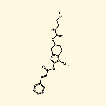 COCCNC(=O)OC1CCc2c(sc(NC(=O)/C=C/c3cccnc3)c2N)C1